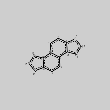 c1cc2c(ccc3snnc32)c2nnsc12